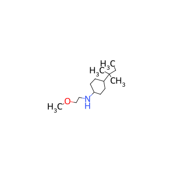 CCC(C)(C)C1CCC(NCCOC)CC1